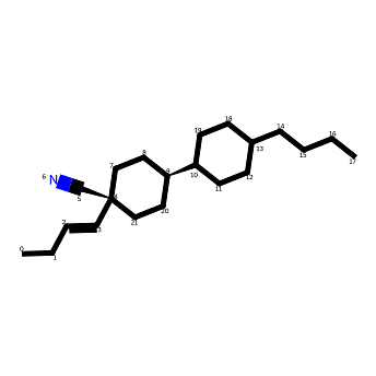 CCC=C[C@]1(C#N)CC[C@@H](C2CCC(CCCC)CC2)CC1